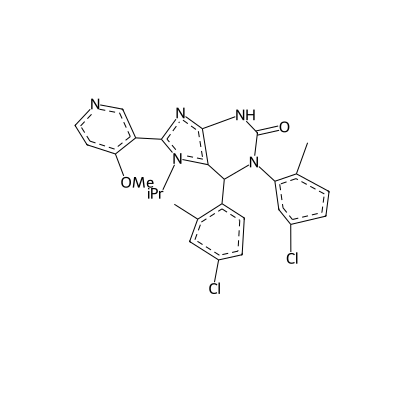 COc1ccncc1-c1nc2c(n1C(C)C)C(c1ccc(Cl)cc1C)N(c1cc(Cl)ccc1C)C(=O)N2